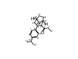 CCC(=O)C1C(c2ccc(C(C)C)cc2)C[C@@H]2CC[C@H]1N2C